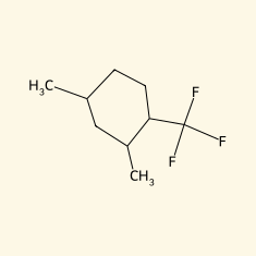 CC1CCC(C(F)(F)F)C(C)C1